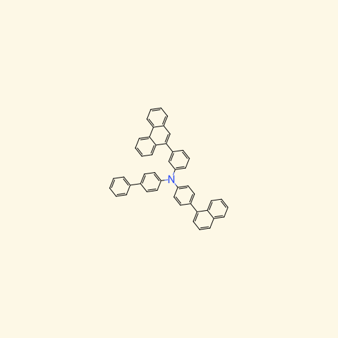 c1ccc(-c2ccc(N(c3ccc(-c4cccc5ccccc45)cc3)c3cccc(-c4cc5ccccc5c5ccccc45)c3)cc2)cc1